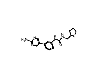 Nc1ncc(-c2cccc(NC(=O)NCC3CCCO3)c2)cn1